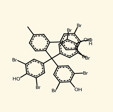 Cc1ccc(C(c2cc(Br)c(O)c(Br)c2)(c2cc(Br)c(O)c(Br)c2)c2cc(Br)c(O)c(Br)c2)c(-c2cc(Br)c(O)c(Br)c2)c1